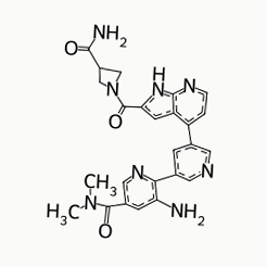 CN(C)C(=O)c1cnc(-c2cncc(-c3ccnc4[nH]c(C(=O)N5CC(C(N)=O)C5)cc34)c2)c(N)c1